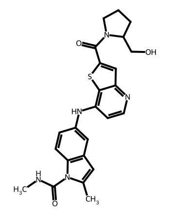 CNC(=O)n1c(C)cc2cc(Nc3ccnc4cc(C(=O)N5CCCC5CO)sc34)ccc21